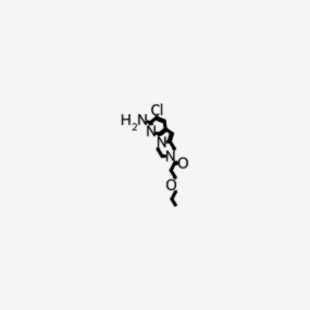 CCCOCCC(=O)N1CCn2c(cc3cc(Cl)c(N)nc32)C1